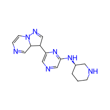 C1=CN2N=CC(c3cncc(N[C@@H]4CCCNC4)n3)C2C=N1